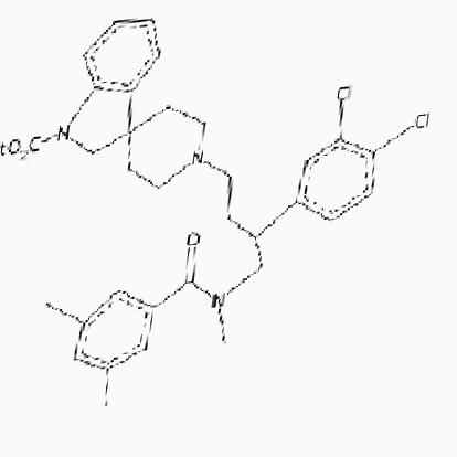 CCOC(=O)N1CC2(CCN(CCC(CN(C)C(=O)c3cc(C)cc(C)c3)c3ccc(Cl)c(Cl)c3)CC2)c2ccccc21